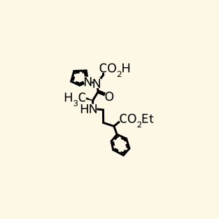 CCOC(=O)C(CCN[C@@H](C)C(=O)N(CC(=O)O)n1cccc1)c1ccccc1